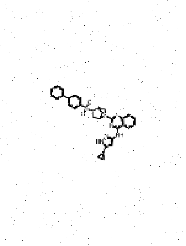 O=S(=O)(c1ccc(-c2ccccc2)cc1)N1CC2CC1CN2c1nc(Nc2cc(C3CC3)[nH]n2)c2ccccc2n1